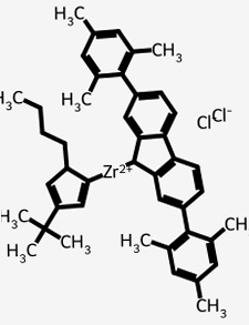 CCCCC1C=C(C(C)(C)C)C=[C]1[Zr+2][CH]1c2cc(-c3c(C)cc(C)cc3C)ccc2-c2ccc(-c3c(C)cc(C)cc3C)cc21.[Cl-].[Cl-]